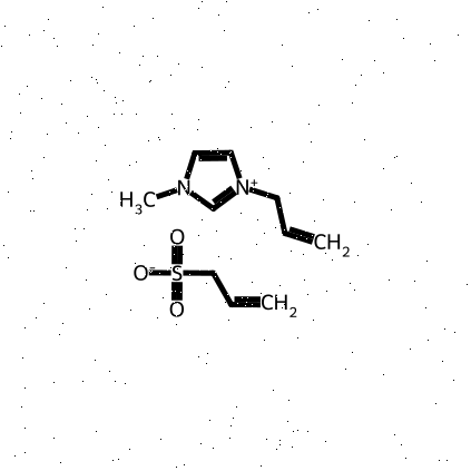 C=CCS(=O)(=O)[O-].C=CC[n+]1ccn(C)c1